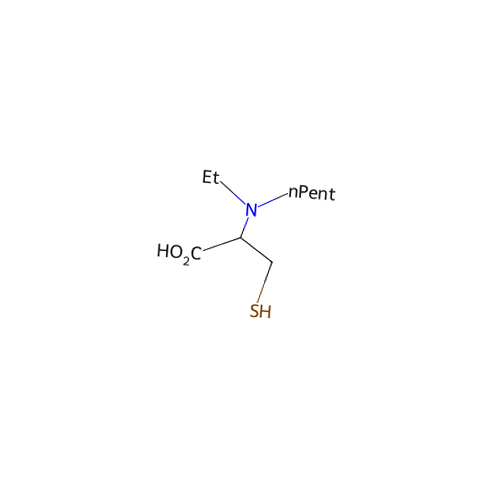 CCCCCN(CC)C(CS)C(=O)O